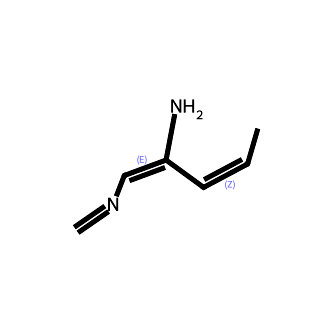 C=N/C=C(N)\C=C/C